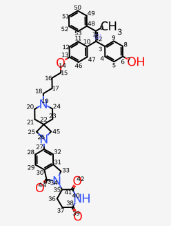 C/C(=C(\c1ccc(O)cc1)c1ccc(OCCCCN2CCC3(CC2)CN(c2ccc4c(c2)CN(C2CCC(=O)NC2=O)C4=O)C3)cc1)c1ccccc1